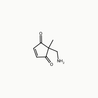 CC1(CN)C(=O)C=CC1=O